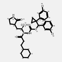 O=C(NN(C(=O)CCC1CCCCC1)[C@@H](CC1CCNC1=O)C(=O)O)OC(c1cccc(Cl)c1)C1(c2cccc(Cl)c2)CC1